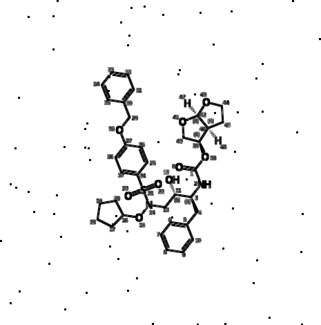 O=C(N[C@@H](Cc1ccccc1)[C@@H](O)CN(OC1CCCC1)S(=O)(=O)c1ccc(OCc2ccccc2)cc1)O[C@H]1CO[C@H]2OCC[C@H]21